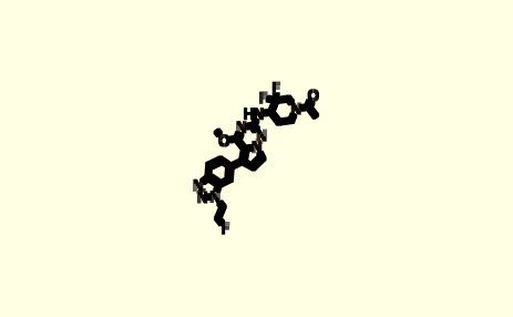 COc1nc(NC2CCN(C(C)=O)CC2(F)F)nn2ccc(-c3ccc4nnn(CCF)c4c3)c12